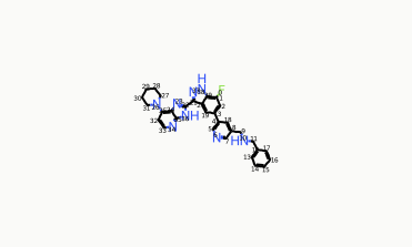 Fc1cc(-c2cncc(CNCc3ccccc3)c2)cc2c(-c3nc4c(N5CCCCC5)ccnc4[nH]3)n[nH]c12